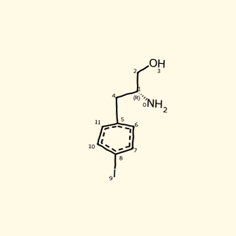 N[C@@H](CO)Cc1ccc(I)cc1